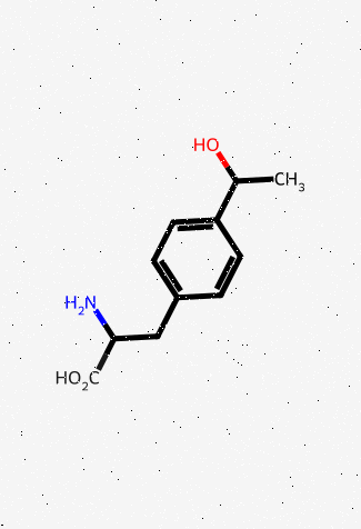 CC(O)c1ccc(CC(N)C(=O)O)cc1